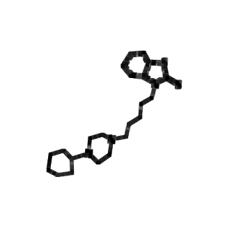 S=c1sc2ccccc2n1CCCCCN1CCN(C2CCCCC2)CC1